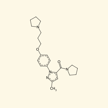 Cc1cc(C(=O)N2CCCC2)n(-c2ccc(OCCCN3CCCC3)cc2)n1